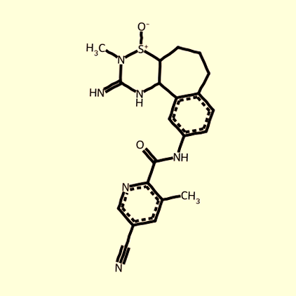 Cc1cc(C#N)cnc1C(=O)Nc1ccc2c(c1)C1NC(=N)N(C)[S+]([O-])C1CCC2